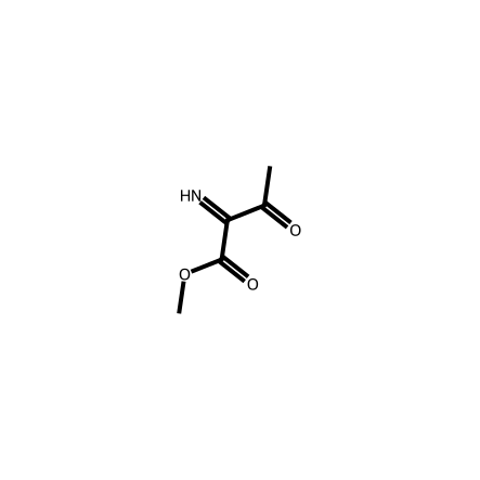 COC(=O)C(=N)C(C)=O